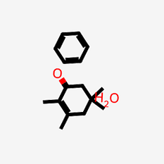 CC1=C(C)C(=O)CC(C)(C)C1.O.c1ccccc1